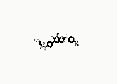 CC(C)n1c(=O)c(-c2ccc(NS(=O)(=O)CCC(F)(F)F)nc2)cc2cnc(N[C@H]3CC[C@H](N(C)C)CC3)nc21